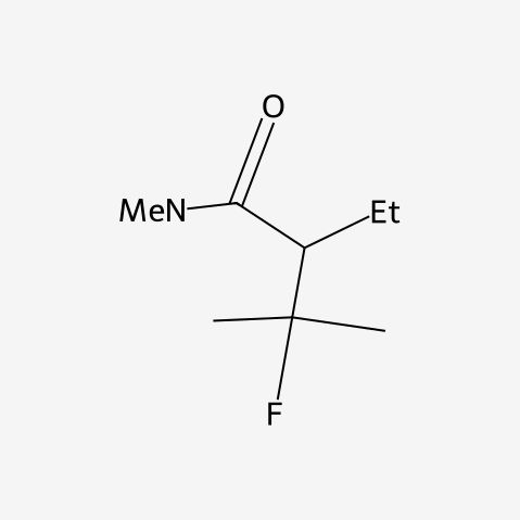 CCC(C(=O)NC)C(C)(C)F